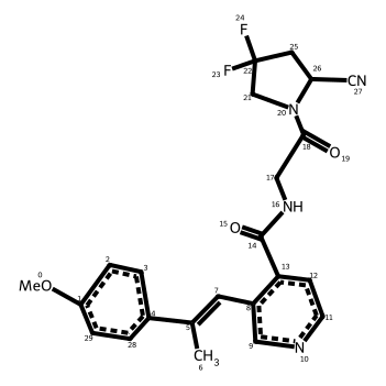 COc1ccc(C(C)=Cc2cnccc2C(=O)NCC(=O)N2CC(F)(F)CC2C#N)cc1